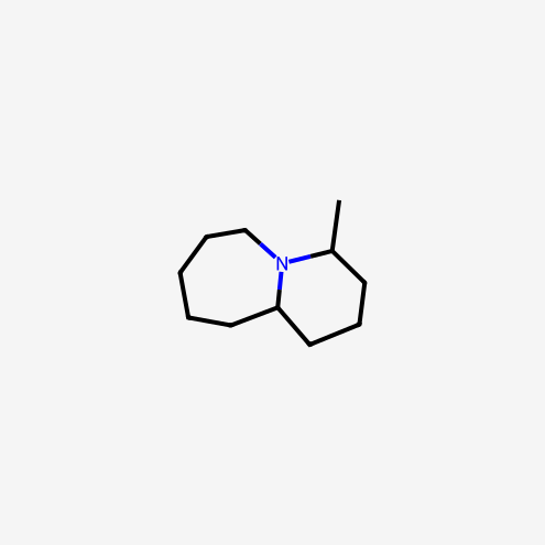 CC1CCCC2CCCCCN12